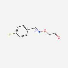 O=CCO/N=C/c1ccc(F)cc1